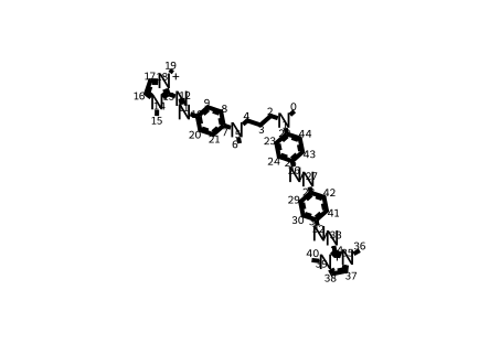 CN(CCCN(C)c1ccc(/N=N/c2n(C)cc[n+]2C)cc1)c1ccc(/N=N/c2ccc(/N=N/c3n(C)cc[n+]3C)cc2)cc1